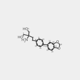 NC(CO)(CO)CCc1ccc(-c2ccc3c(c2)OCO3)cc1